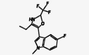 CCC1=C(c2cn(C)c3ccc(F)cc23)OC(C(F)(F)F)N1